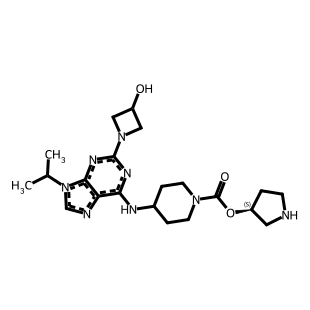 CC(C)n1cnc2c(NC3CCN(C(=O)O[C@H]4CCNC4)CC3)nc(N3CC(O)C3)nc21